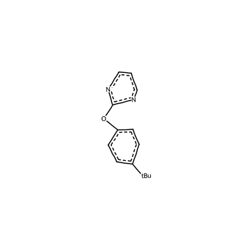 CC(C)(C)c1ccc(Oc2ncccn2)cc1